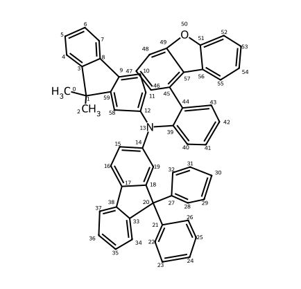 CC1(C)c2ccccc2-c2ccc(N(c3ccc4c(c3)C(c3ccccc3)(c3ccccc3)c3ccccc3-4)c3ccccc3-c3cccc4oc5ccccc5c34)cc21